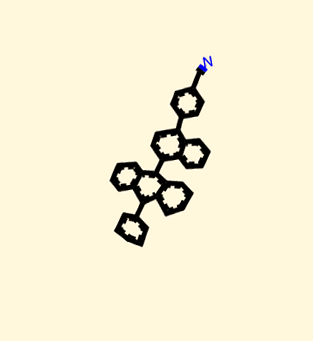 N#Cc1ccc(-c2ccc(-c3c4ccccc4c(-c4ccccc4)c4ccccc34)c3ccccc23)cc1